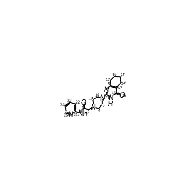 O=C(CN1CCN(c2nc3c(c(=O)[nH]2)CCCC3)CC1)Nc1ccccn1